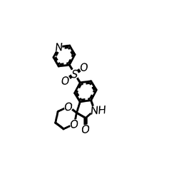 O=C1Nc2ccc(S(=O)(=O)c3ccncc3)cc2C12OCCCO2